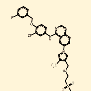 CS(=O)(=O)CCNCc1cn(-c2ccc3ncnc(Nc4ccc(OCc5cccc(F)c5)c(Cl)c4)c3c2)cc1C(F)(F)F